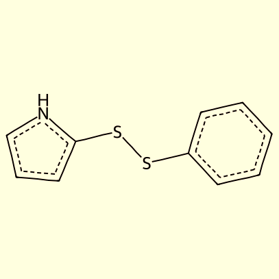 c1ccc(SSc2ccc[nH]2)cc1